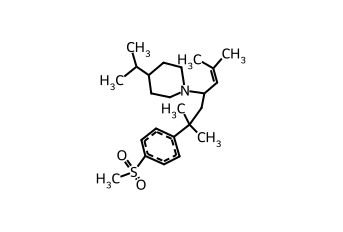 CC(C)=CC(CC(C)(C)c1ccc(S(C)(=O)=O)cc1)N1CCC(C(C)C)CC1